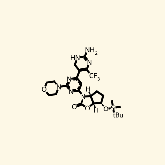 CC(C)(C)[Si](C)(C)O[C@@H]1CC[C@@H]2[C@H]1OC(=O)N2c1cc(C2=C(C(F)(F)F)N=C(N)NC2)nc(N2CCOCC2)n1